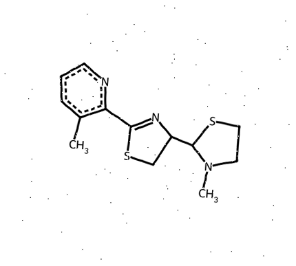 Cc1cccnc1C1=NC(C2SCCN2C)CS1